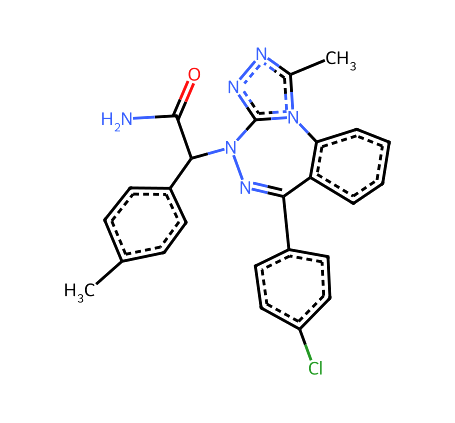 Cc1ccc(C(C(N)=O)N2N=C(c3ccc(Cl)cc3)c3ccccc3-n3c(C)nnc32)cc1